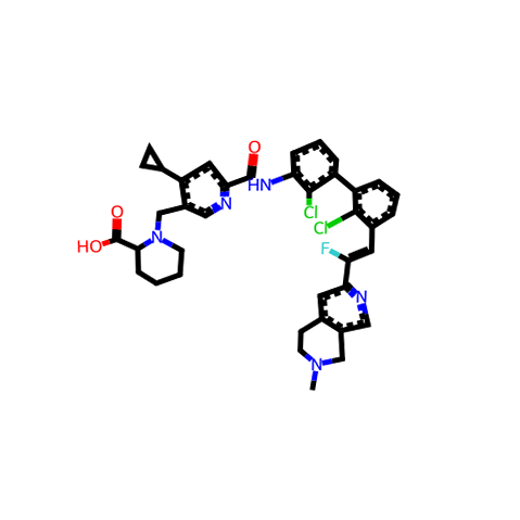 CN1CCc2cc(C(F)=Cc3cccc(-c4cccc(NC(=O)c5cc(C6CC6)c(CN6CCCCC6C(=O)O)cn5)c4Cl)c3Cl)ncc2C1